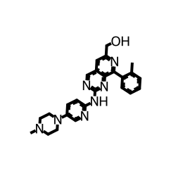 Cc1ccccc1-c1nc(CO)cc2cnc(Nc3ccc(N4CCN(C)CC4)cn3)nc12